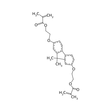 C=C(C)C(=O)OCCOc1ccc2c(c1)C(C)(C)c1cc(OCCOC(=O)C(=C)C)ccc1-2